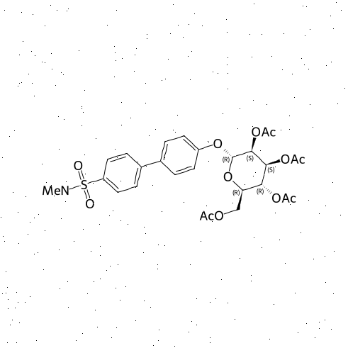 CNS(=O)(=O)c1ccc(-c2ccc(O[C@H]3O[C@H](COC(C)=O)[C@@H](OC(C)=O)[C@H](OC(C)=O)[C@@H]3OC(C)=O)cc2)cc1